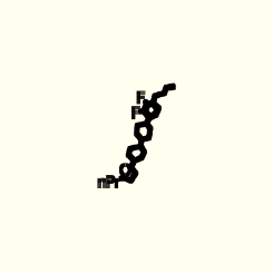 C=CCCc1ccc(C2CCC(C3CCC(C4CCC(CCC)O4)CC3)CC2)c(F)c1F